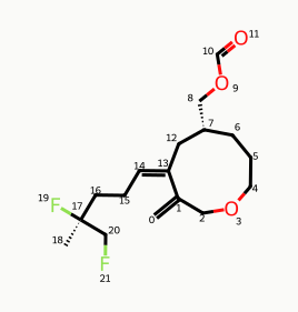 C=C1COCCC[C@@H](COC=O)C/C1=C/CC[C@](C)(F)CF